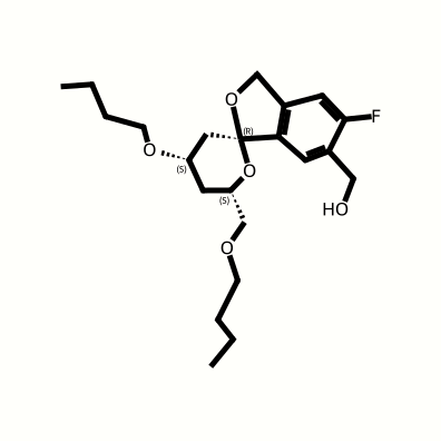 CCCCOC[C@@H]1C[C@H](OCCCC)C[C@@]2(OCc3cc(F)c(CO)cc32)O1